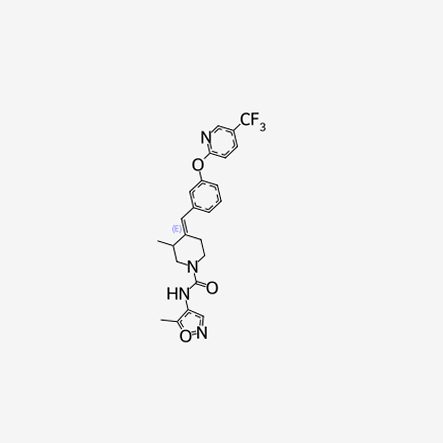 Cc1oncc1NC(=O)N1CC/C(=C\c2cccc(Oc3ccc(C(F)(F)F)cn3)c2)C(C)C1